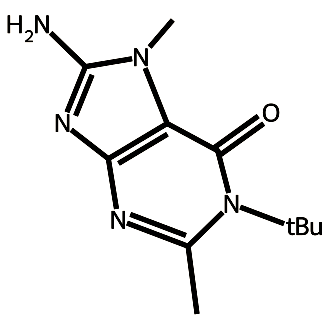 Cc1nc2nc(N)n(C)c2c(=O)n1C(C)(C)C